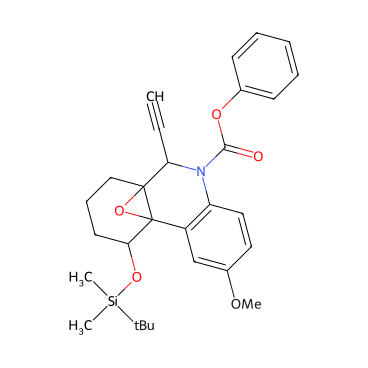 C#CC1N(C(=O)Oc2ccccc2)c2ccc(OC)cc2C23OC12CCCC3O[Si](C)(C)C(C)(C)C